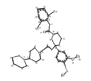 CCOc1ccc(C2(CCN3CCC(N4CCCCC4)CC3)CCCN(C(=O)Cc3c(F)cccc3Cl)C2)cc1OCC